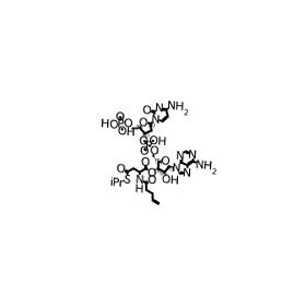 C=CCCC(=O)NC(CC(=O)SC(C)C)C(=O)O[C@H]1[C@@H](O)[C@H](n2cnc3c(N)ncnc32)O[C@H]1COP(=O)(O)O[C@H]1C[C@H](n2ccc(N)nc2=O)O[C@@H]1COP(=O)(O)O